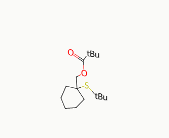 CC(C)(C)SC1(COC(=O)C(C)(C)C)CCCCC1